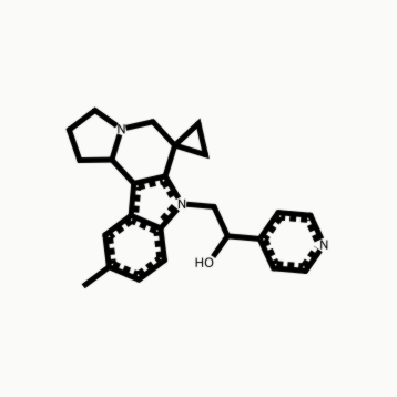 Cc1ccc2c(c1)c1c(n2CC(O)c2ccncc2)C2(CC2)CN2CCCC12